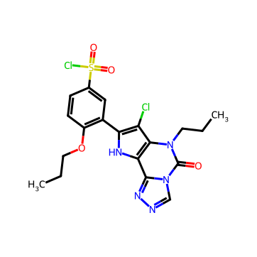 CCCOc1ccc(S(=O)(=O)Cl)cc1-c1[nH]c2c(c1Cl)n(CCC)c(=O)n1cnnc21